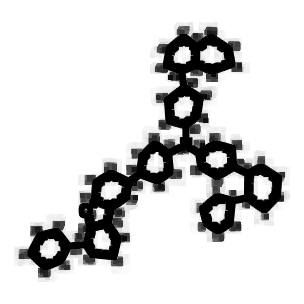 c1ccc(-c2ccccc2-c2ccc(N(c3ccc(-c4ccc5oc6c(-c7ccccc7)cccc6c5c4)cc3)c3ccc(-c4cccc5ccccc45)cc3)cc2)cc1